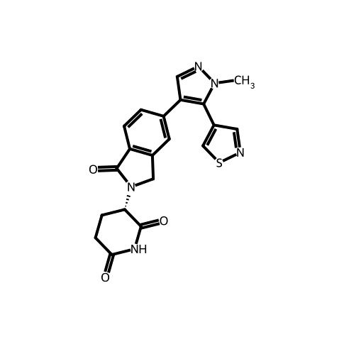 Cn1ncc(-c2ccc3c(c2)CN([C@H]2CCC(=O)NC2=O)C3=O)c1-c1cnsc1